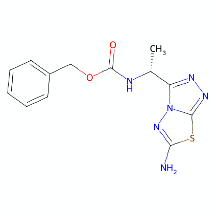 C[C@@H](NC(=O)OCc1ccccc1)c1nnc2sc(N)nn12